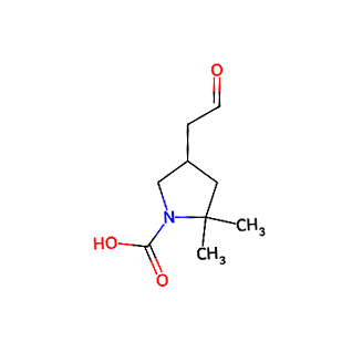 CC1(C)CC(CC=O)CN1C(=O)O